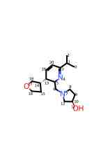 CC(C)C1=NC(CN2CC[C@@H](O)C2)C([C@@H]2CCOC2)C=C1